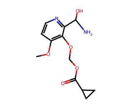 COc1ccnc(C(N)O)c1OCOC(=O)C1CC1